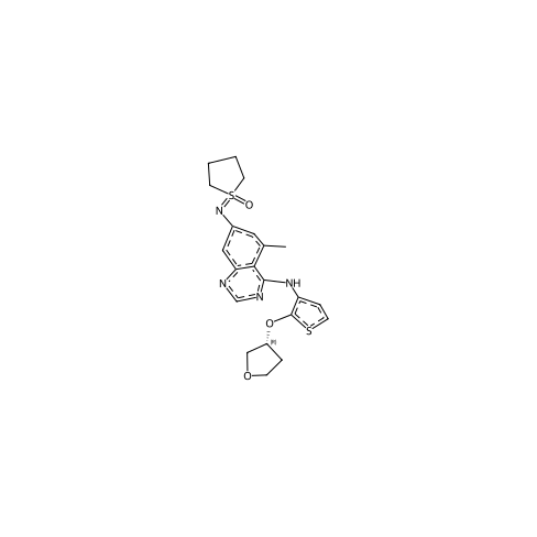 Cc1cc(N=S2(=O)CCCC2)cc2ncnc(Nc3ccsc3O[C@@H]3CCOC3)c12